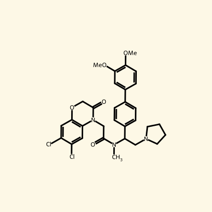 COc1ccc(-c2ccc(C(CN3CCCC3)N(C)C(=O)CN3C(=O)COc4cc(Cl)c(Cl)cc43)cc2)cc1OC